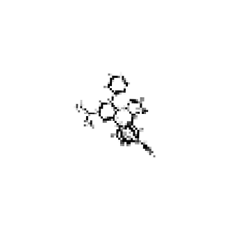 CC(C)c1cc(-c2ccccc2)c(N2C=CNC2c2cccc(C#N)c2)c(-c2ccccc2)c1